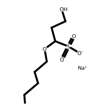 CCCCCOC(CCO)S(=O)(=O)[O-].[Na+]